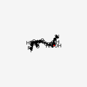 C=C1N=CSC1c1ccc(CNC(=O)[C@@H]2C[C@@H](O)CN2C(=O)[C@@H](NC(=O)COCCOCCOCC(=O)N2CCN(c3ccc(C(=O)Nc4n[nH]c5ccc(Cc6cc(F)cc(F)c6)cc45)c(NC4CCOCC4)c3)CC2)C(C)(C)C)cc1